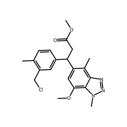 COC(=O)CC(c1ccc(C)c(CCl)c1)c1cc(OC)c2c(nnn2C)c1C